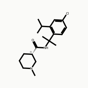 CC(C)c1cc(Cl)ccc1C(C)(C)NC(=O)[C@H]1CCCN(C)C1